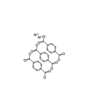 O=C([O-])c1ccc(C(=O)[O-])cc1.O=C([O-])c1ccc(C(=O)[O-])cc1.O=C([O-])c1ccc(C(=O)[O-])cc1.[Al+3].[Al+3]